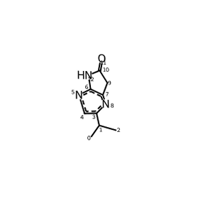 CC(C)c1cnc2c(n1)CC(=O)N2